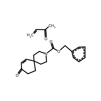 C=CC(C)=O.O=C1C=CC2(CC1)CCN(C(=O)OCc1ccccc1)CC2